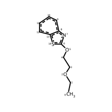 CCOCCOc1nc2ccccc2s1